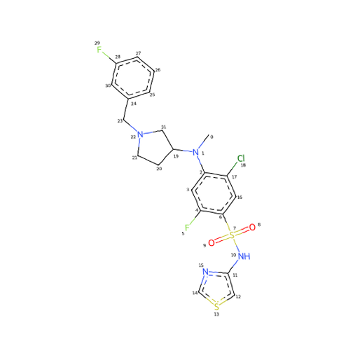 CN(c1cc(F)c(S(=O)(=O)Nc2cscn2)cc1Cl)C1CCN(Cc2cccc(F)c2)C1